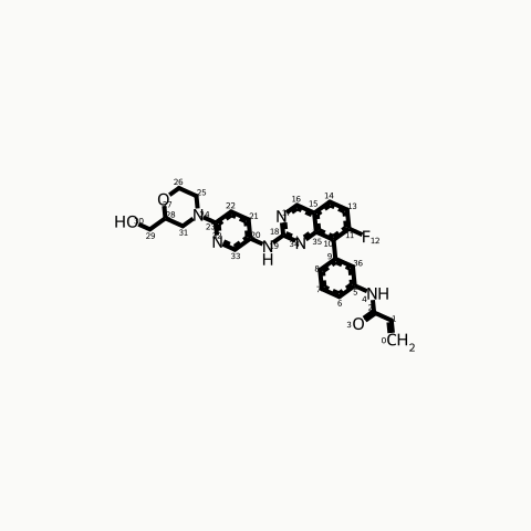 C=CC(=O)Nc1cccc(-c2c(F)ccc3cnc(Nc4ccc(N5CCOC(CO)C5)nc4)nc23)c1